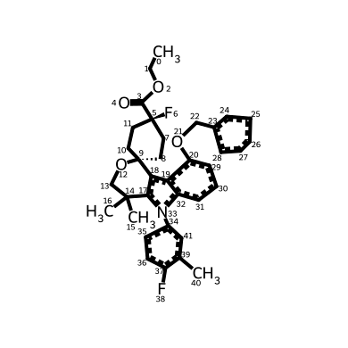 CCOC(=O)[C@]1(F)CC[C@@]2(CC1)OCC(C)(C)c1c2c2c(OCc3ccccc3)cccc2n1-c1ccc(F)c(C)c1